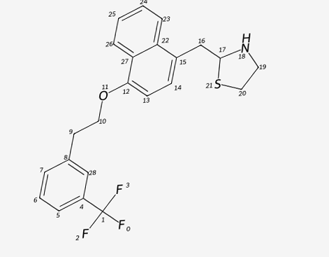 FC(F)(F)c1cccc(CCOc2ccc(CC3NCCS3)c3ccccc23)c1